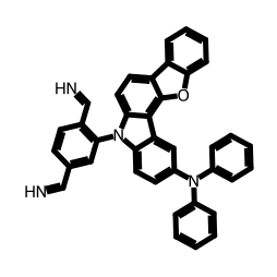 N=Cc1ccc(C=N)c(-n2c3ccc(N(c4ccccc4)c4ccccc4)cc3c3c4oc5ccccc5c4ccc32)c1